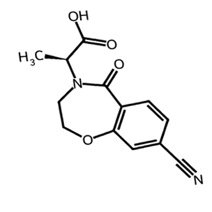 C[C@@H](C(=O)O)N1CCOc2cc(C#N)ccc2C1=O